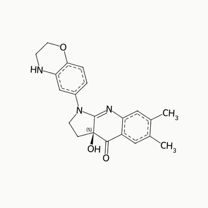 Cc1cc2c(cc1C)C(=O)[C@]1(O)CCN(c3ccc4c(c3)NCCO4)C1=N2